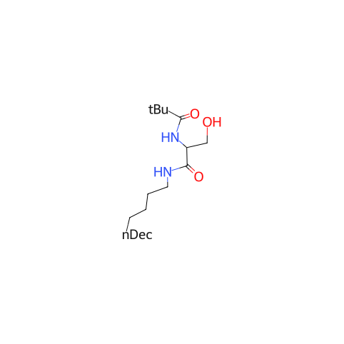 CCCCCCCCCCCCCCNC(=O)C(CO)NC(=O)C(C)(C)C